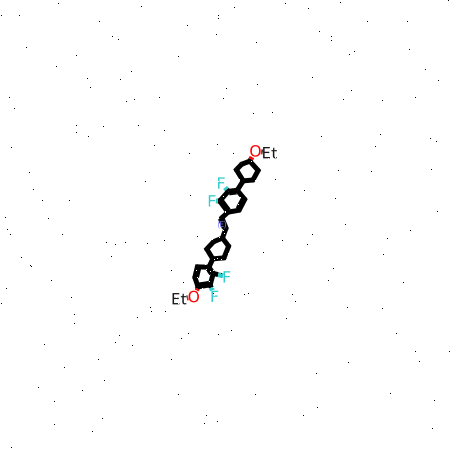 CCOc1ccc(C2CCC(/C=C/c3ccc(C4CCC(OCC)CC4)c(F)c3F)CC2)c(F)c1F